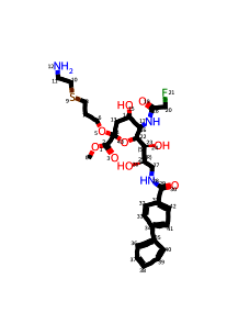 COC(=O)C1(OCCCSCCN)CC(O)C(NC(=O)CF)C([C@@H](O)[C@H](O)CNC(=O)c2ccc(-c3ccccc3)cc2)O1